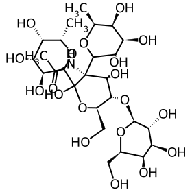 CC(=O)N[C@]1(C2O[C@@H](C)[C@@H](O)[C@@H](O)[C@@H]2O)[C@@H](O)[C@H](O[C@@H]2O[C@H](CO)[C@H](O)[C@H](O)[C@H]2O)[C@@H](CO)OC1(O)C1O[C@@H](C)[C@@H](O)[C@@H](O)[C@@H]1O